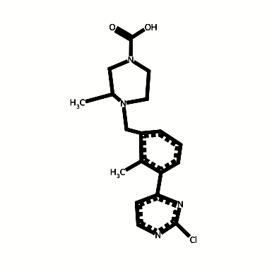 Cc1c(CN2CCN(C(=O)O)CC2C)cccc1-c1ccnc(Cl)n1